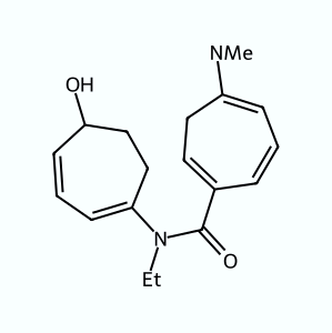 CCN(C(=O)C1=CCC(NC)=CC=C1)C1=CC=CC(O)CC1